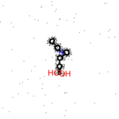 OB(O)c1ccc(-c2ccc3c(c2)c2ccccc2n3-c2ccc(-c3ccccc3)cc2)cc1